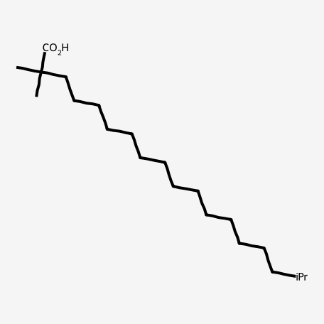 CC(C)CCCCCCCCCCCCCCC(C)(C)C(=O)O